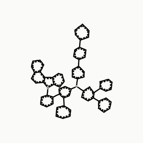 c1ccc(-c2ccc(-c3ccc(N(c4ccc(-c5ccccc5)c(-c5ccccc5)c4)c4ccc(-c5ccccc5-n5c6ccccc6c6c7ccccc7ccc65)c(-c5ccccc5)c4)cc3)cc2)cc1